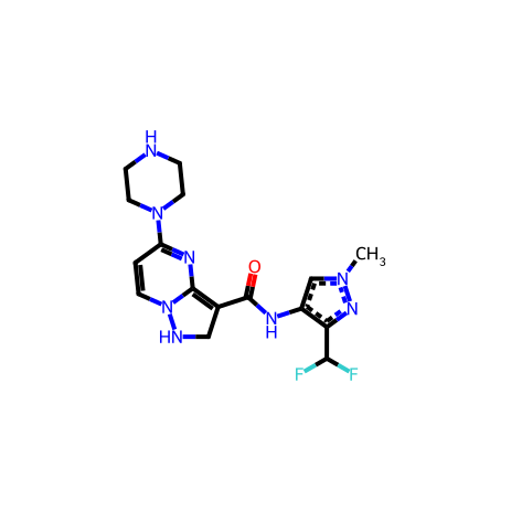 Cn1cc(NC(=O)C2=C3N=C(N4CCNCC4)C=CN3NC2)c(C(F)F)n1